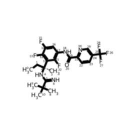 CC[C@](C)(NC(=N)C(C)(C)C)c1c(F)c(F)cc(NC(=O)c2ccc(C(F)(F)F)cn2)c1F